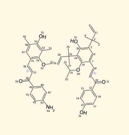 C=CC(C)(C)c1cc(/C=C/C(=O)c2ccc(O)cc2)c(OC(C)C)c(C(C)(C)C=C)c1O.COc1c(/C=C/C(=O)c2ccc(N)cc2)cc(C)c(O)c1C